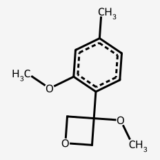 COc1cc(C)ccc1C1(OC)COC1